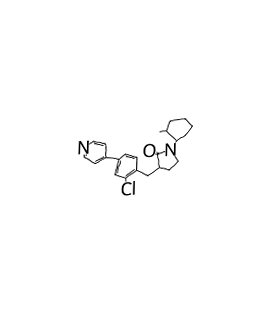 CC1CCCCC1N1CCC(Cc2ccc(-c3ccncc3)cc2Cl)C1=O